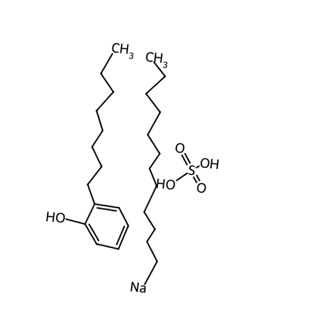 CCCCCCCCCCC[CH2][Na].CCCCCCCCc1ccccc1O.O=S(=O)(O)O